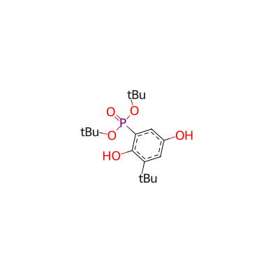 CC(C)(C)OP(=O)(OC(C)(C)C)c1cc(O)cc(C(C)(C)C)c1O